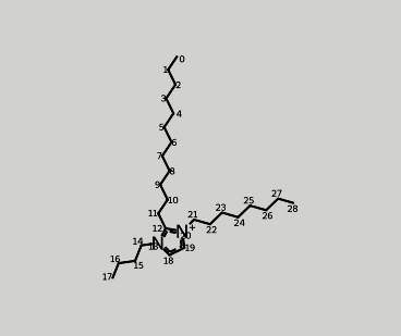 CCCCCCCCCCCCc1n(CCCC)cc[n+]1CCCCCCCC